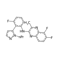 CCCn1nccc1-c1c(F)cccc1Nc1nc2ccc(F)c(F)c2nc1C